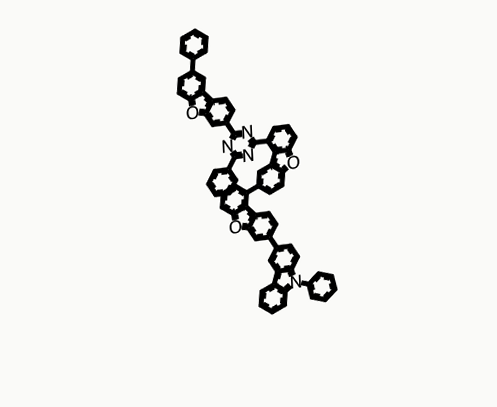 c1ccc(-c2ccc3oc4cc(-c5nc(-c6ccccc6)nc(-c6cccc7oc8ccc(-c9cccc%10oc%11cc(-c%12ccc%13c(c%12)c%12ccccc%12n%13-c%12ccccc%12)ccc%11c9%10)cc8c67)n5)ccc4c3c2)cc1